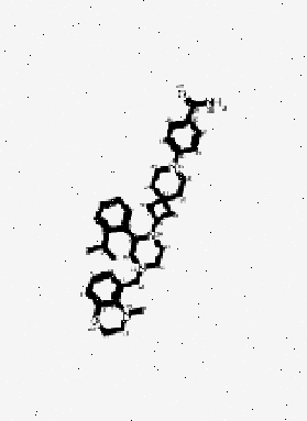 CC(C)c1ccccc1C1CN(Cc2cccc3c2N(C)CCO3)CCN1C1CC2(CCN(c3ccc(C(N)=O)cc3)CC2)C1